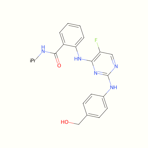 CC(C)NC(=O)c1ccccc1Nc1nc(Nc2ccc(CO)cc2)ncc1F